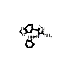 NC1=NN=C(c2ccc3c(c2)OCO3)/C1=N\Nc1ccccc1